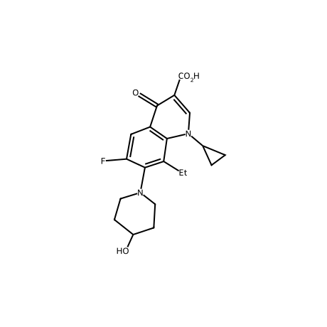 CCc1c(N2CCC(O)CC2)c(F)cc2c(=O)c(C(=O)O)cn(C3CC3)c12